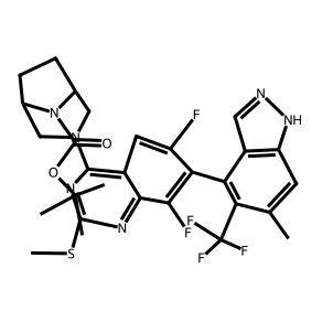 CSc1nc(N2CC3CCC(C2)N3C(=O)OC(C)(C)C)c2cc(F)c(-c3c(C(F)(F)F)c(C)cc4[nH]ncc34)c(F)c2n1